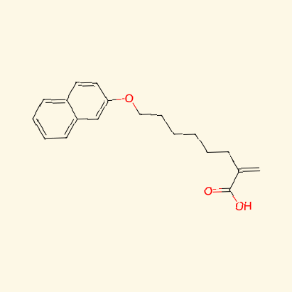 C=C(CCCCCCOc1ccc2ccccc2c1)C(=O)O